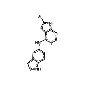 Brc1cc2c(Nc3ccc4[nH]ncc4c3)ncnc2[nH]1